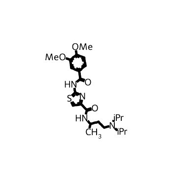 COc1ccc(C(=O)Nc2nc(C(=O)NC(C)CCN(C(C)C)C(C)C)cs2)cc1OC